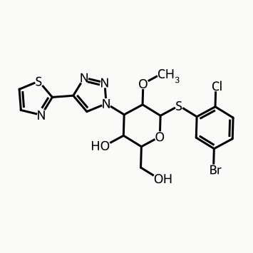 COC1C(Sc2cc(Br)ccc2Cl)OC(CO)C(O)C1n1cc(-c2nccs2)nn1